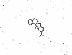 CC(C)c1ccc(C=C2CCc3ccccc3C2=O)cc1